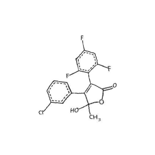 CC1(O)OC(=O)C(c2c(F)cc(F)cc2F)=C1c1cccc(Cl)c1